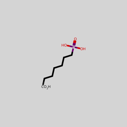 O=C(O)CCCCCCP(=O)(O)O